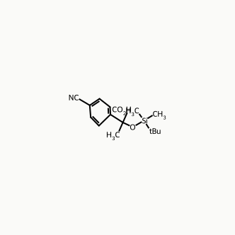 CC(O[Si](C)(C)C(C)(C)C)(C(=O)O)c1ccc(C#N)cc1